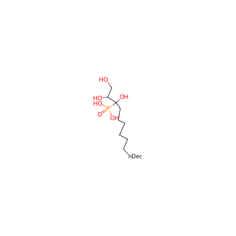 CCCCCCCCCCCCCCCCC(O)(C(O)CO)P(=O)(O)O